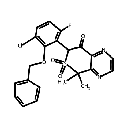 CC1(C)c2nccnc2C(=O)C(c2c(F)ccc(Cl)c2OCc2ccccc2)S1(=O)=O